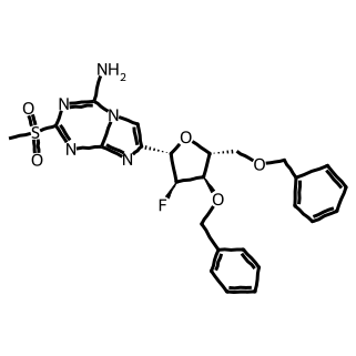 CS(=O)(=O)c1nc(N)n2cc([C@@H]3O[C@H](COCc4ccccc4)[C@@H](OCc4ccccc4)[C@H]3F)nc2n1